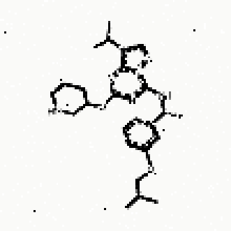 CC(C)COc1cccc([C@H](C)Nc2nc(OC3CCCNC3)nc3c(C(C)C)cnn23)c1